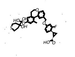 Cc1cc(OC(O)(O)C2(O)CCSCC2)cc2c1-c1cc(COc3ccc([C@H]4C[C@@H]4C(=O)O)c(F)c3)ccc1OCC2